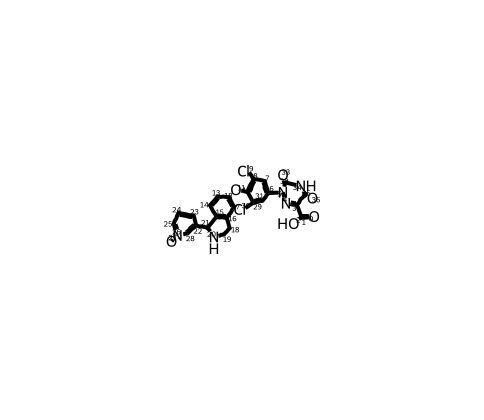 O=C(O)c1nn(-c2cc(Cl)c(Oc3ccc4c(c3)CCNC4c3ccc[n+]([O-])c3)c(Cl)c2)c(=O)[nH]c1=O